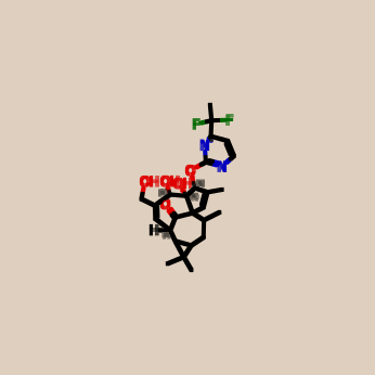 CC1=CC23C(=O)[C@@H](C=C(CO)[C@@H](O)[C@]2(O)[C@H]1Oc1nccc(C(C)(F)F)n1)C1C(CC3C)C1(C)C